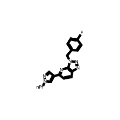 CCCn1cc(-c2ccc3nnn(Cc4ccc(F)cc4)c3n2)cn1